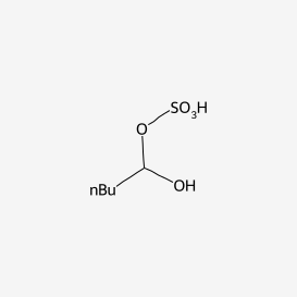 CCCCC(O)OS(=O)(=O)O